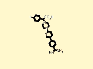 N=C(N)c1ccc(-c2ccc(N3CCN(C(C(=O)O)c4ccc(F)cc4)CC3)nc2)cc1